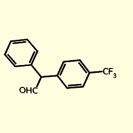 O=CC(c1ccccc1)c1ccc(C(F)(F)F)cc1